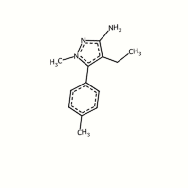 CCc1c(N)nn(C)c1-c1ccc(C)cc1